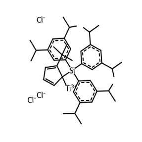 CC(C)c1cc(C(C)C)cc([Si](c2cc(C(C)C)cc(C(C)C)c2)(c2cc(C(C)C)cc(C(C)C)c2)[C]2([Ti+3])C=CC=C2C(C)(C)C)c1.[Cl-].[Cl-].[Cl-]